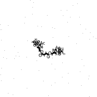 CC(=O)c1nc(COC(=O)CCC(=O)OCc2cn(S(=O)(=O)N(C)C)c(C(C)=O)n2)cn1S(=O)(=O)N(C)C